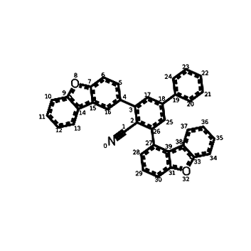 N#Cc1c(-c2ccc3oc4ccccc4c3c2)cc(-c2ccccc2)cc1-c1cccc2oc3ccccc3c12